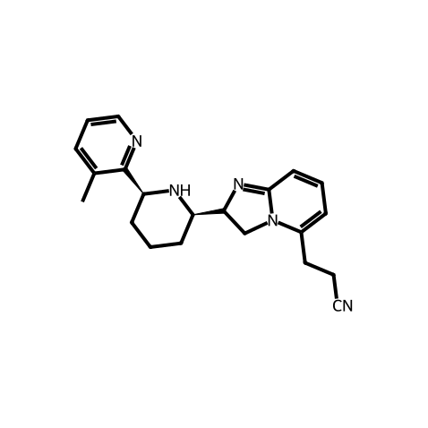 Cc1cccnc1[C@@H]1CCC[C@H](C2CN3C(CCC#N)=CC=CC3=N2)N1